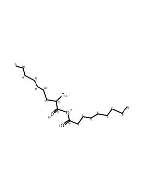 CCCCCCCCC(=O)OC(=O)C(F)CCCCCCC